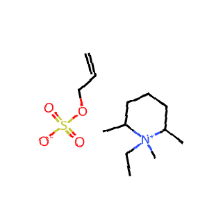 C=CCOS(=O)(=O)[O-].CC[N+]1(C)C(C)CCCC1C